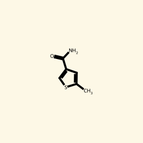 Cc1cc(C(N)=O)cs1